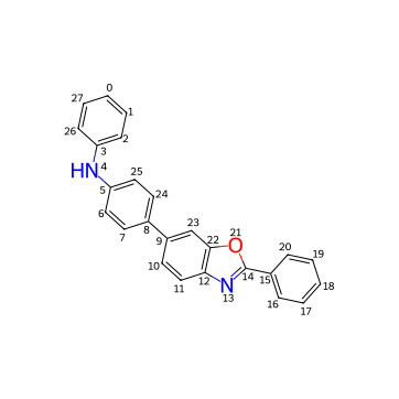 c1ccc(Nc2ccc(-c3ccc4nc(-c5ccccc5)oc4c3)cc2)cc1